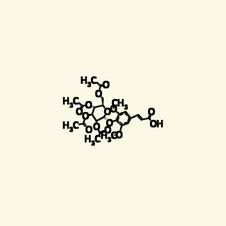 COc1cc(/C=C/C(=O)O)cc(OC)c1O[C@H]1O[C@H](COC(C)=O)[C@@H](OC(C)=O)[C@H](OC(C)=O)[C@@H]1OC(C)=O